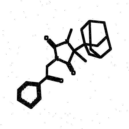 CN1C(=O)N(CC(=O)c2ccccc2)C(=O)C1(C)C12CC3CC(CC(C3)C1)C2